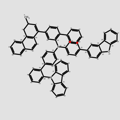 CC1C=C(c2ccc(-c3ccccc3)c(N(c3ccc(-c4ccc5oc6ccccc6c5c4)cc3)c3ccc(-c4ccccc4-n4c5ccccc5c5ccccc54)cc3)c2)c2ccc3ccccc3c2C1